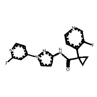 O=C(Nc1ccn(-c2ccnc(F)c2)n1)C1(c2ccncc2F)CC1